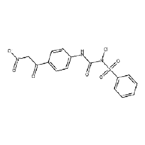 O=C(C[N+](=O)[O-])c1ccc(NC(=O)N(Cl)S(=O)(=O)c2ccccc2)cc1